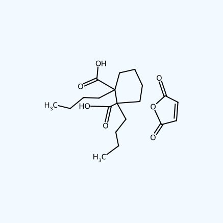 CCCCC1(C(=O)O)CCCCC1(CCCC)C(=O)O.O=C1C=CC(=O)O1